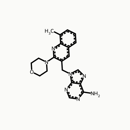 Cc1cccc2cc(Cn3cnc4c(N)ncnc43)c(N3CCOCC3)nc12